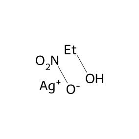 CCO.O=[N+]([O-])[O-].[Ag+]